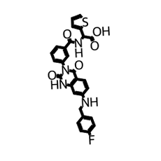 O=C(NC(C(=O)O)c1cccs1)c1cccc(-n2c(=O)[nH]c3cc(NCc4ccc(F)cc4)ccc3c2=O)c1